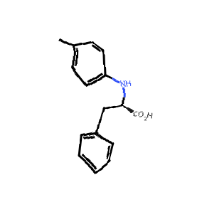 Cc1ccc(N[C@H](Cc2ccccc2)C(=O)O)cc1